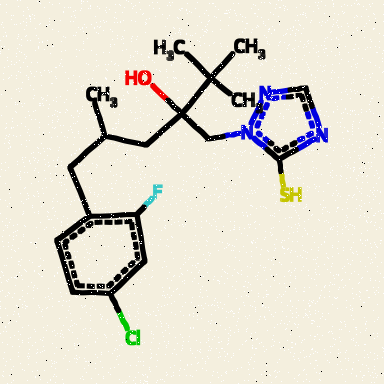 CC(Cc1ccc(Cl)cc1F)CC(O)(Cn1ncnc1S)C(C)(C)C